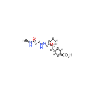 CCCCNC(=O)CCNN=CC1C2CCC(O2)C1Cc1ccc(C(=O)O)cc1